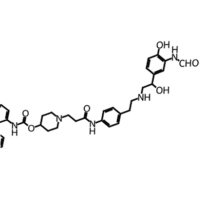 O=CNc1cc(C(O)CNCCc2ccc(NC(=O)CCN3CCC(OC(=O)Nc4ccccc4-c4ccccc4)CC3)cc2)ccc1O